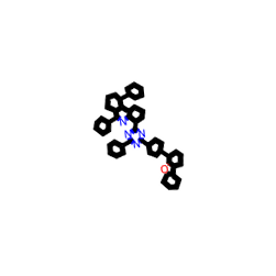 c1ccc(-c2nc(-c3ccc(-c4cccc5c4oc4ccccc45)cc3)nc(-c3cccc4c3nc(-c3ccccc3)c3cccc(-c5ccccc5)c34)n2)cc1